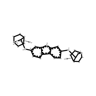 c1cc2c(cc1O[C@H]1CN3CCC1CC3)sc1cc(O[C@H]3CN4CCC3CC4)ccc12